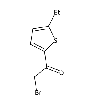 CCc1ccc(C(=O)CBr)s1